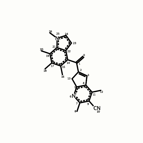 C=C(C1=Cc2c(nc(C)c(C#N)c2C)C1)c1c(C)c(C)c(C)c2c1ccn2C